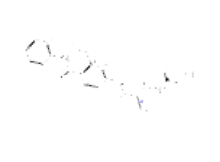 CC(C)(C)OC(=O)NC/C(=C\F)COc1ccc2c(c1)CCN(c1ccccc1)C2=O